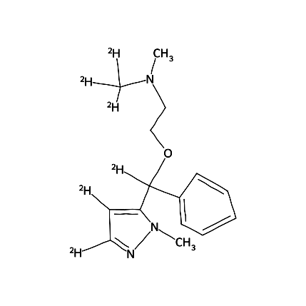 [2H]c1nn(C)c(C([2H])(OCCN(C)C([2H])([2H])[2H])c2ccccc2)c1[2H]